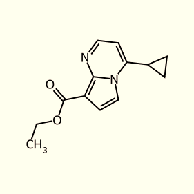 CCOC(=O)c1ccn2c(C3CC3)ccnc12